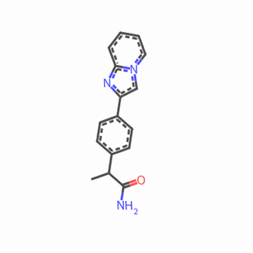 CC(C(N)=O)c1ccc(-c2cn3ccccc3n2)cc1